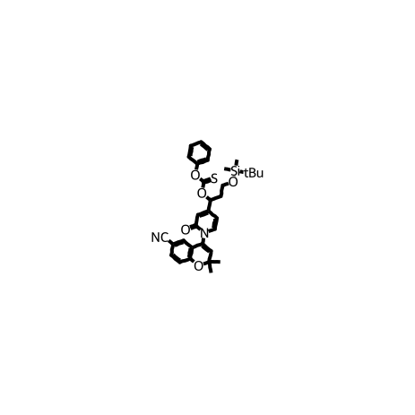 CC1(C)C=C(n2ccc(C(CCO[Si](C)(C)C(C)(C)C)OC(=S)Oc3ccccc3)cc2=O)c2cc(C#N)ccc2O1